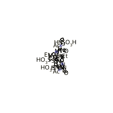 CCN(CC)c1ccc(/N=N/c2nc(N3CCOCC3)c(/C=C(/C(C)=O)C(=O)Nc3ccccc3S(=O)(=O)O)s2)c(Nc2nc(Nc3cc(N(CC)CC)ccc3/N=N/c3nc(N4CCOCC4)c(/C=C(\C(C)=O)C(=O)Nc4ccccc4S(=O)(=O)O)s3)nc(SCCS(=O)(=O)O)n2)c1